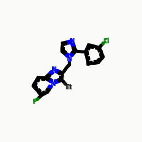 CCc1c(Cn2ccnc2-c2cccc(Cl)c2)nc2ccc(F)cn12